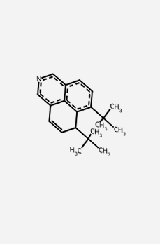 CC(C)(C)c1ccc2cncc3c2c1C(C(C)(C)C)C=C3